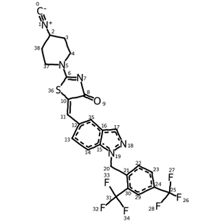 [C-]#[N+]C1CCN(C2=NC(=O)C(=Cc3ccc4c(cnn4Cc4ccc(C(F)(F)F)cc4C(F)(F)F)c3)S2)CC1